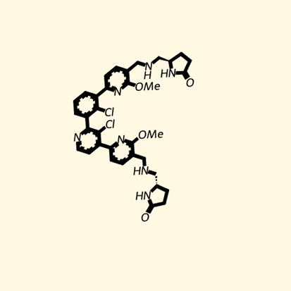 COc1nc(-c2cccc(-c3nccc(-c4ccc(CNC[C@@H]5CCC(=O)N5)c(OC)n4)c3Cl)c2Cl)ccc1CNC[C@H]1CCC(=O)N1